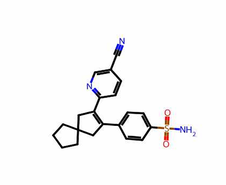 N#Cc1ccc(C2=C(c3ccc(S(N)(=O)=O)cc3)CC3(CCCC3)C2)nc1